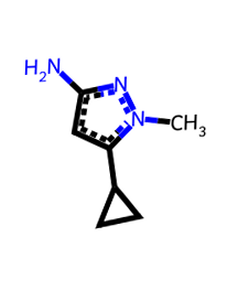 Cn1nc(N)cc1C1CC1